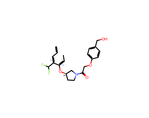 C=C/C=C(\C(=C/C)O[C@@H]1CCN(C(=O)COc2ccc(CO)cc2)C1)C(F)F